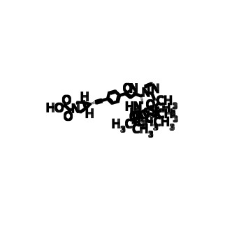 C[C@H](O[Si](C)(C)C(C)(C)C)c1nccn1[C@H](CNC(=O)OC(C)(C)C)c1cc(-c2ccc(C#C[C@@H]3[C@H]4CN(C(=O)C(=O)O)C[C@@H]34)cc2)on1